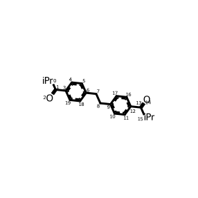 CC(C)C(=O)c1ccc(CCc2ccc(C(=O)C(C)C)cc2)cc1